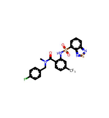 CN(Cc1ccc(F)cc1)C(=O)c1ccc(C(F)(F)F)cc1NS(=O)(=O)c1cccc2nsnc12